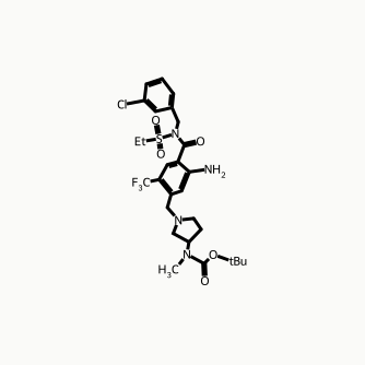 CCS(=O)(=O)N(Cc1cccc(Cl)c1)C(=O)c1cc(C(F)(F)F)c(CN2CCC(N(C)C(=O)OC(C)(C)C)C2)cc1N